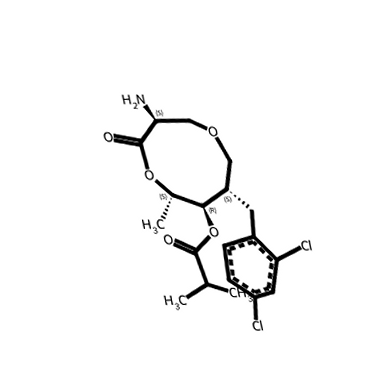 CC(C)C(=O)O[C@@H]1[C@@H](Cc2ccc(Cl)cc2Cl)COC[C@H](N)C(=O)O[C@H]1C